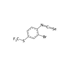 FC(F)(F)Sc1ccc(N=C=[Se])c(Br)c1